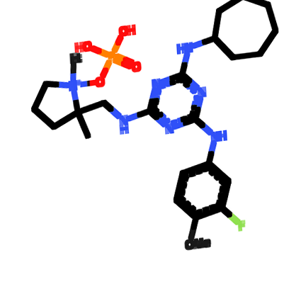 CC[N+]1(OP(=O)(O)O)CCCC1(C)CNc1nc(Nc2ccc(OC)c(F)c2)nc(NC2CCCCCC2)n1